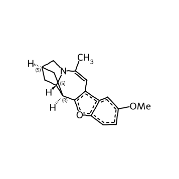 COc1ccc2oc3c(c2c1)C=C(C)N1C[C@H]2C[C@@H]3[C@@H]1C2